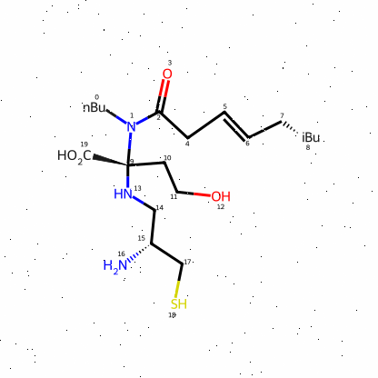 CCCCN(C(=O)C/C=C/C[C@@H](C)CC)[C@](CCO)(NC[C@@H](N)CS)C(=O)O